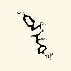 NC(Cc1ccc(S(=O)(=O)O)cc1)C(=O)NC(Cc1ccc(S(=O)(=O)O)cc1)C(=O)O